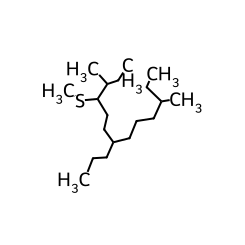 CCCC(CCCC(C)CC)CCC(SC)C(C)CC